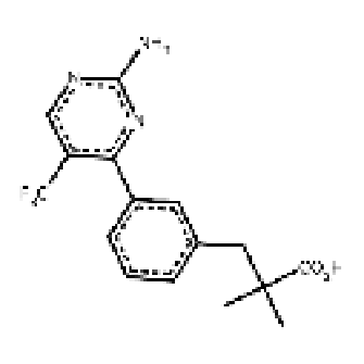 CC(C)(Cc1cccc(-c2nc(N)ncc2C(F)(F)F)c1)C(=O)O